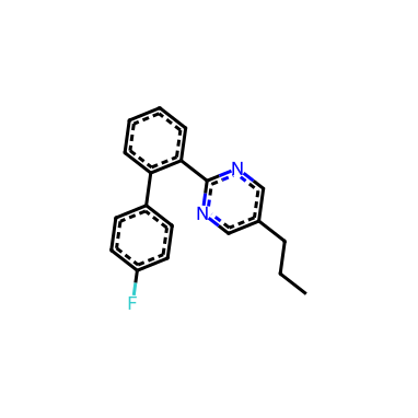 CCCc1cnc(-c2ccccc2-c2ccc(F)cc2)nc1